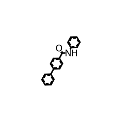 O=C(Nc1ccccc1)c1ccc(-c2ccccc2)cc1